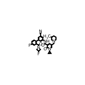 C[C@H]1CCCN(Cc2cc(C(=O)Nc3cc(C#N)cc(-c4ccc(F)cc4C(=O)N4CC(F)C4)c3)c(=O)n(C3CC3)c2)C1